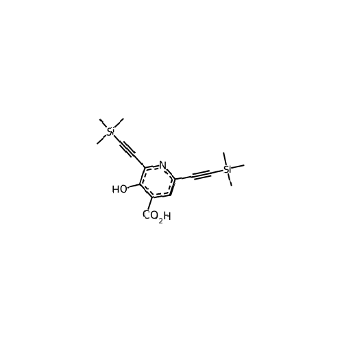 C[Si](C)(C)C#Cc1cc(C(=O)O)c(O)c(C#C[Si](C)(C)C)n1